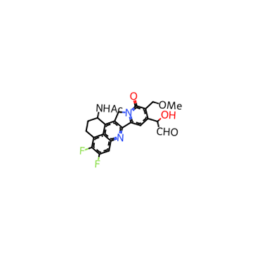 COCc1c(C(O)C=O)cc2n(c1=O)Cc1c-2nc2cc(F)c(F)c3c2c1C(NC(C)=O)CC3